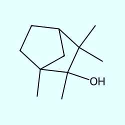 CC12CCC(C1)C(C)(C)C2(C)O